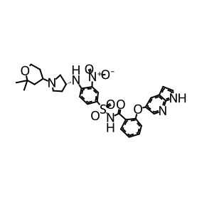 CC1(C)CC(N2CC[C@@H](Nc3ccc(S(=O)(=O)NC(=O)c4ccccc4Oc4cnc5[nH]ccc5c4)cc3[N+](=O)[O-])C2)CCO1